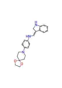 C(Nc1ccc(N2CCC3(CC2)OCCO3)cc1)=C1CNc2ccccc21